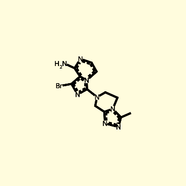 Cc1nnc2n1CCN(c1nc(Br)c3c(N)nccn13)C2